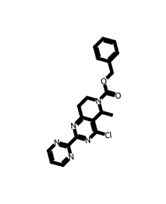 CC1c2c(Cl)nc(-c3ncccn3)nc2CCN1C(=O)OCc1ccccc1